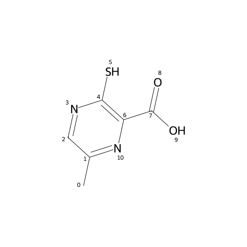 Cc1cnc(S)c(C(=O)O)n1